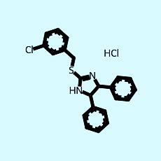 Cl.Clc1cccc(CSC2=NC(c3ccccc3)C(c3ccccc3)N2)c1